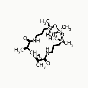 C=C(C)C(=O)NCCC[Si](C)(C)O[Si](C)(C)O[Si](C)(C)CCCNC(=O)C(=C)C